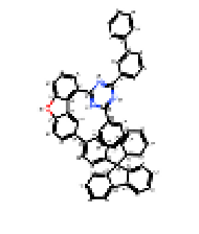 c1ccc(-c2cccc(-c3nc(-c4ccccc4)nc(-c4cccc5oc6ccc(-c7ccc8c(c7)-c7ccccc7C87c8ccccc8-c8ccccc87)cc6c45)n3)c2)cc1